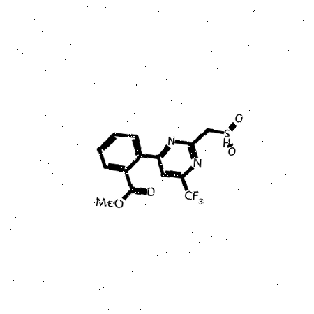 COC(=O)c1ccccc1-c1cc(C(F)(F)F)nc(C[SH](=O)=O)n1